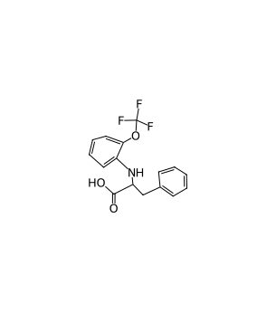 O=C(O)C(Cc1ccccc1)Nc1ccccc1OC(F)(F)F